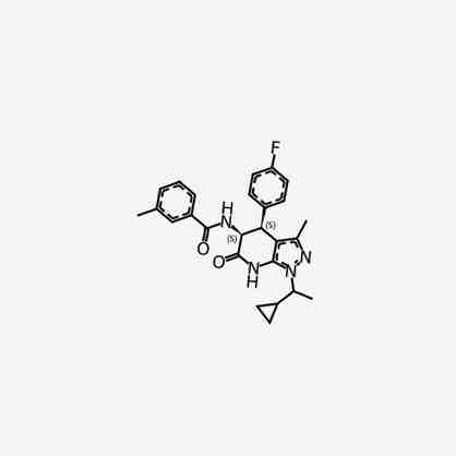 Cc1cccc(C(=O)N[C@@H]2C(=O)Nc3c(c(C)nn3C(C)C3CC3)[C@@H]2c2ccc(F)cc2)c1